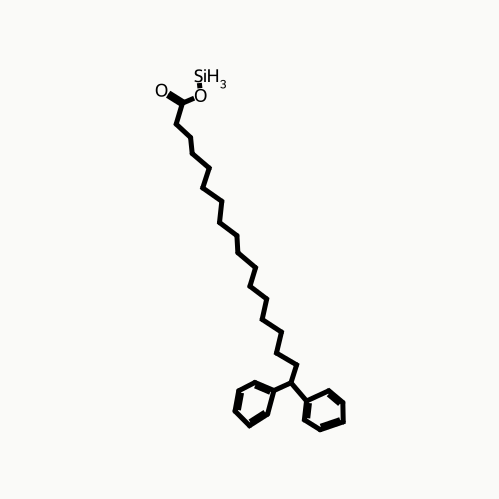 O=C(CCCCCCCCCCCCCCCCC(c1ccccc1)c1ccccc1)O[SiH3]